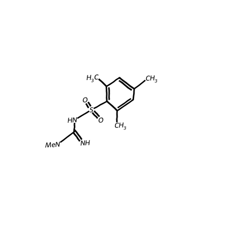 CNC(=N)NS(=O)(=O)c1c(C)cc(C)cc1C